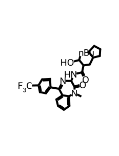 CCCCC(O)C(CC1CCCC1)C(=O)NC1N=C(c2ccc(C(F)(F)F)cc2)c2ccccc2N(C)C1=O